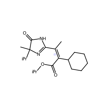 C/C(C1=NC(C)(C(C)C)C(=O)N1)=C(/C(=O)OC(C)C)C1CCCCC1